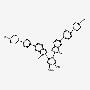 COc1cc(-c2cc3ncc(-c4ccc(N5CCN(C(C)C)CC5)cc4)cc3n2C)c(-c2cc3ncc(-c4ccc(N5CCN(C(C)C)CC5)cc4)cc3n2C)cc1C#N